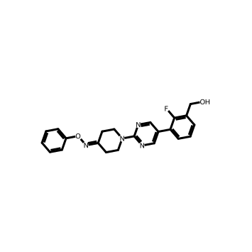 OCc1cccc(-c2cnc(N3CCC(=NOc4ccccc4)CC3)nc2)c1F